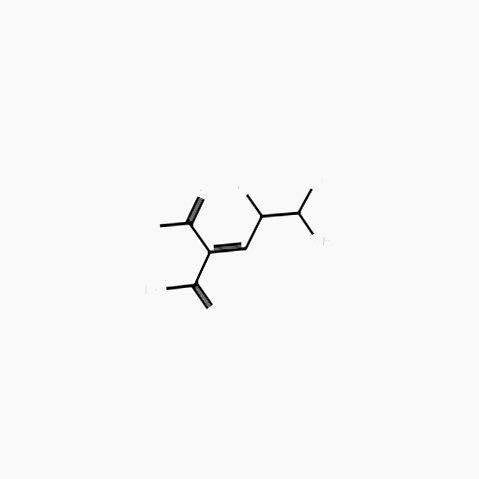 CC(C)C(C)C=C(C(=O)O)C(=O)O